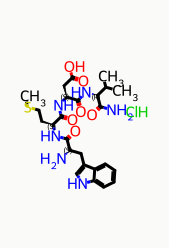 CSCC[C@H](NC(=O)[C@@H](N)Cc1c[nH]c2ccccc12)C(=O)N[C@@H](CC(=O)O)C(=O)N[C@@H](C(N)=O)C(C)C.Cl